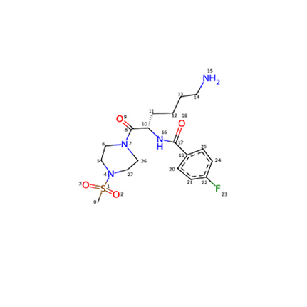 CS(=O)(=O)N1CCN(C(=O)[C@H](CCCCN)NC(=O)c2ccc(F)cc2)CC1